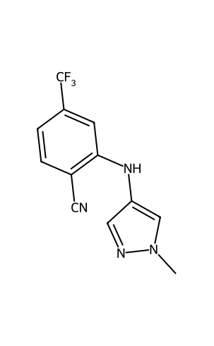 Cn1cc(Nc2cc(C(F)(F)F)ccc2C#N)cn1